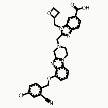 N#Cc1cc(Cl)ccc1COc1cccc2c1nc1n2CCN(Cc2nc3ccc(C(=O)O)cc3n2C[C@@H]2CCO2)C1